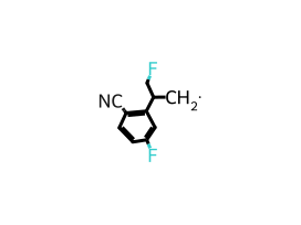 [CH2]C(CF)c1cc(F)ccc1C#N